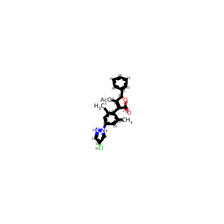 CC(=O)OC1=C(c2c(C)cc(-n3cc(Cl)cn3)cc2C)C(=O)OC1c1ccccc1